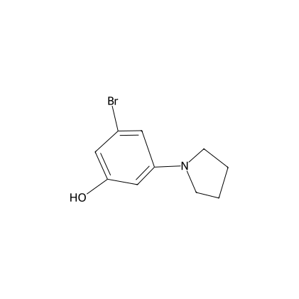 Oc1cc(Br)cc(N2CCCC2)c1